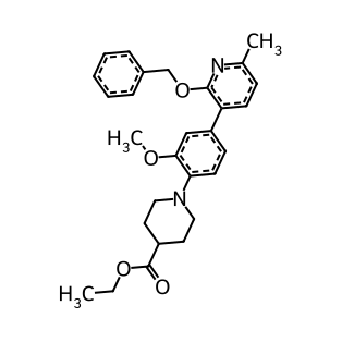 CCOC(=O)C1CCN(c2ccc(-c3ccc(C)nc3OCc3ccccc3)cc2OC)CC1